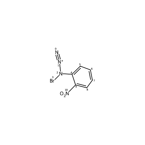 N#[N+]N(Br)c1ccccc1[N+](=O)[O-]